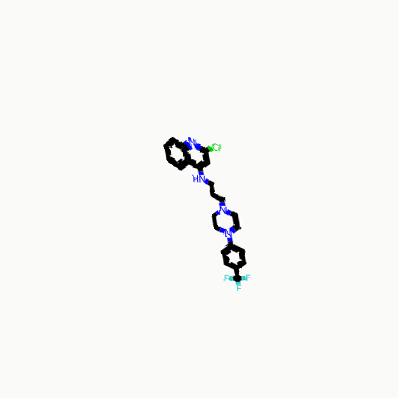 FC(F)(F)c1ccc(N2CCN(CCCNc3cc(Cl)nc4ccccc34)CC2)cc1